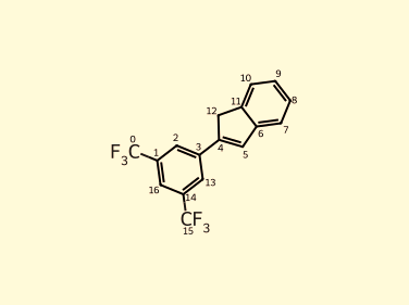 FC(F)(F)c1cc(C2=Cc3ccccc3C2)cc(C(F)(F)F)c1